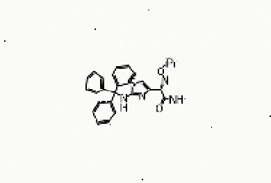 CC(C)O/N=C(/C([NH])=O)c1csc(NC(c2ccccc2)(c2ccccc2)c2ccccc2)n1